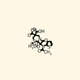 COC1(N(C(C)=O)c2cccs2)C(=O)N2CC(C(C)=O)(C(=O)O)C[S+]([O-])[C@@H]21